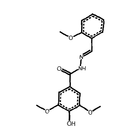 COc1ccccc1C=NNC(=O)c1cc(OC)c(O)c(OC)c1